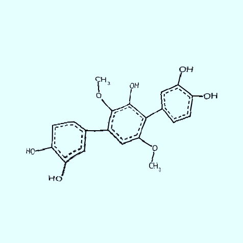 COc1cc(-c2ccc(O)c(O)c2)c(OC)c(O)c1-c1ccc(O)c(O)c1